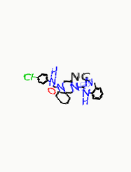 Cc1ccccc1N/C(=N/C#N)N1CCN(C(=O)Nc2ccc(Cl)cc2)C2(CCCCC2)C1